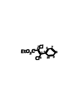 CCOC(=O)C(Cl)=C(Cl)c1ccccc1